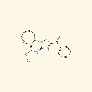 CCOC1=C2C=CC=CC=C2N2CC(C(=O)c3ccccc3)=NC2=N1